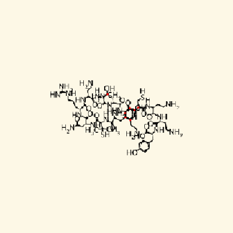 C[C@@H](O)[C@H](NC(=O)[C@H](CCN)NC(=O)[C@H](CCCNC(=N)N)NC(=O)[C@H](CC(N)=O)NC(=O)[C@@H](NC(=O)[C@@H](N)Cc1ccc(O)cc1)C(C)(C)S)C(=O)N[C@H](CCN)C(=O)N[C@@H](CCCCN)C(=O)N[C@@H](CS)C(=O)N[C@@H](CCN)C(=O)N[C@@H](CCN)C(=O)N[C@@H](Cc1ccc(O)cc1)C(=O)O